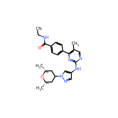 Cc1cnc(Nc2cnn(C3C[C@@H](C)O[C@@H](C)C3)c2)nc1-c1ccc(C(=O)NCC#N)cc1